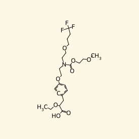 CCOC(Cc1ccc(OCCN(CCOCCCC(F)(F)F)C(=O)OCCOC)cc1)C(=O)O